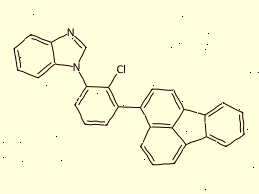 Clc1c(-c2ccc3c4c(cccc24)-c2ccccc2-3)cccc1-n1cnc2ccccc21